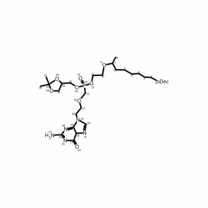 CCCCCCCCCCCCCCCCC(C)OCCOP(=O)(COCCN1C=NC2C(=O)N=C(N)N=C21)OCC1COC(C)(C)O1